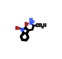 NC(Cc1c(Br)n(Br)c2ccccc12)C(=O)O